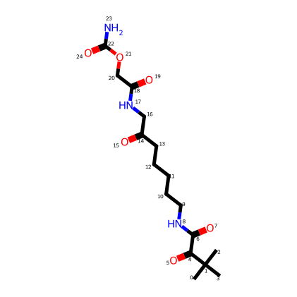 CC(C)(C)C(=O)C(=O)NCCCCCC(=O)CNC(=O)COC(N)=O